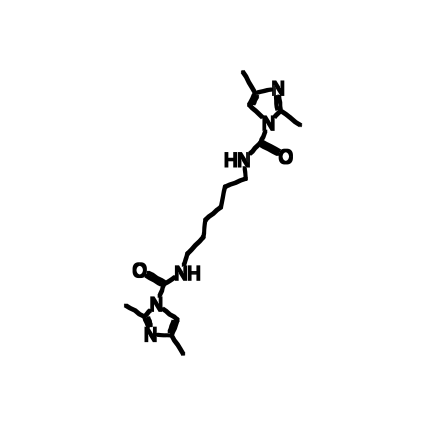 Cc1cn(C(=O)NCCCCCCNC(=O)n2cc(C)nc2C)c(C)n1